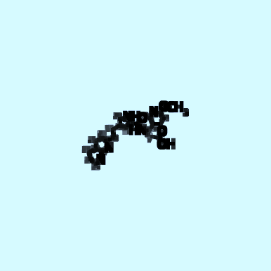 COc1ccc([C@H](CC(=O)O)NC(=O)c2cc(/C=C/c3ccc4cccnc4n3)c[nH]2)cn1